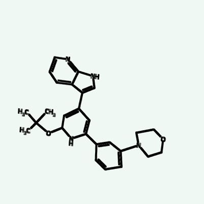 CC(C)(C)OC1C=C(c2c[nH]c3ncccc23)C=C(c2cccc(N3CCOCC3)c2)N1